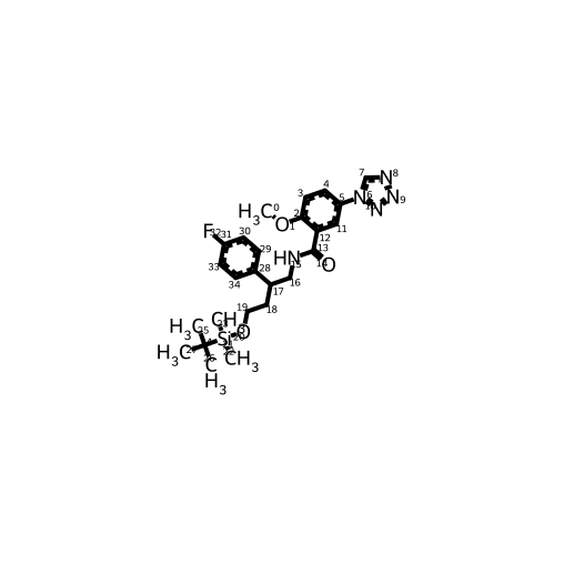 COc1ccc(-n2cnnn2)cc1C(=O)NCC(CCO[Si](C)(C)C(C)(C)C)c1ccc(F)cc1